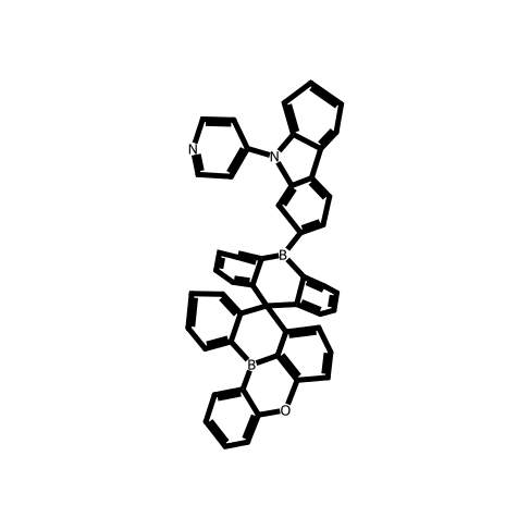 c1ccc2c(c1)Oc1cccc3c1B2c1ccccc1C31c2ccccc2B(c2ccc3c4ccccc4n(-c4ccncc4)c3c2)c2ccccc21